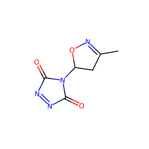 CC1=NOC(N2C(=O)N=NC2=O)C1